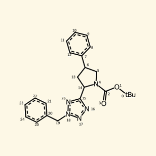 CC(C)(C)OC(=O)N1CC(c2ccccc2)CC1c1nnn(Cc2ccccc2)n1